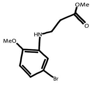 COC(=O)CCNc1cc(Br)ccc1OC